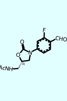 CC(=O)NC[C@H]1CN(c2ccc(C=O)c(F)c2)C(=O)O1